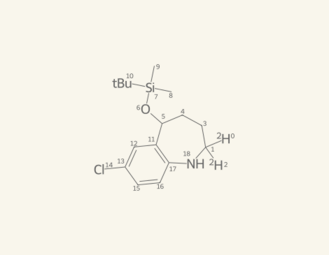 [2H]C1([2H])CCC(O[Si](C)(C)C(C)(C)C)c2cc(Cl)ccc2N1